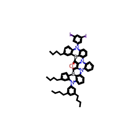 CCCCc1cc(CCCC)cc(N2c3cc(CCCC)ccc3B3c4oc5c6c4N(c4ccccc4N6c4cccc6c4B5c4cc(CCCC)ccc4N6c4cc(I)cc(I)c4)c4cccc2c43)c1